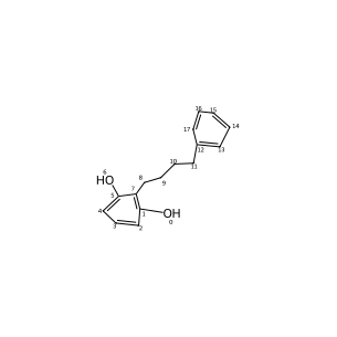 Oc1cccc(O)c1CCCCc1ccccc1